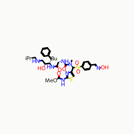 CC[C@H](C)[C@H](NC(=O)N(C)C(c1csc(NC(=O)OC)n1)S(=O)(=O)c1ccc(/C=N/O)cc1)C(=O)N[C@@H](Cc1ccccc1)[C@H](O)CNCC(C)C